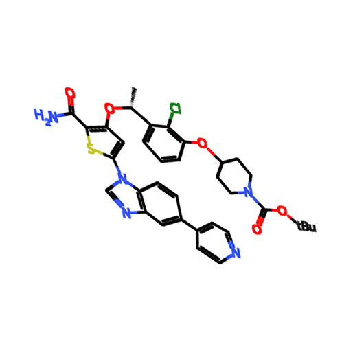 C[C@@H](Oc1cc(-n2cnc3cc(-c4ccncc4)ccc32)sc1C(N)=O)c1cccc(OC2CCN(C(=O)OC(C)(C)C)CC2)c1Cl